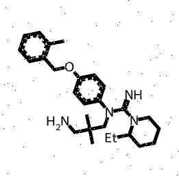 CCC1CCCCN1C(=N)N(CC(C)(C)CN)c1ccc(OCc2ccccc2C)cc1